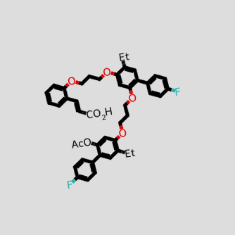 CCc1cc(-c2ccc(F)cc2)c(OCCCOc2cc(OC(C)=O)c(-c3ccc(F)cc3)cc2CC)cc1OCCCOc1ccccc1/C=C/C(=O)O